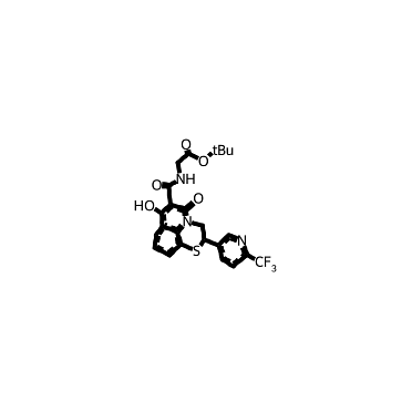 CC(C)(C)OC(=O)CNC(=O)c1c(O)c2cccc3c2n(c1=O)CC(c1ccc(C(F)(F)F)nc1)S3